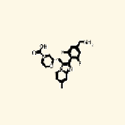 Cc1ccn2c(C[C@H]3CN(C(=O)O)CCO3)c(-c3c(F)cc(CN)cc3F)nc2c1